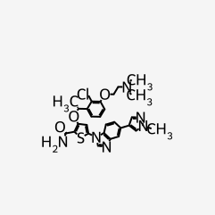 C[C@@H](Oc1cc(-n2cnc3cc(-c4cnn(C)c4)ccc32)sc1C(N)=O)c1cccc(OCCN(C)C)c1Cl